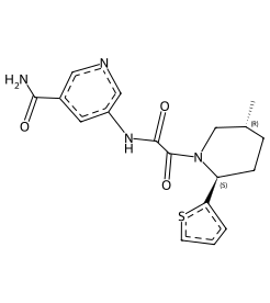 C[C@@H]1CC[C@@H](c2cccs2)N(C(=O)C(=O)Nc2cncc(C(N)=O)c2)C1